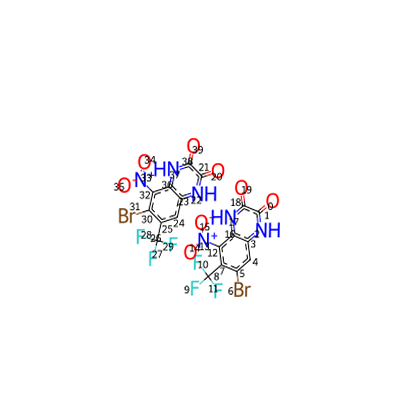 O=c1[nH]c2cc(Br)c(C(F)(F)F)c([N+](=O)[O-])c2[nH]c1=O.O=c1[nH]c2cc(C(F)(F)F)c(Br)c([N+](=O)[O-])c2[nH]c1=O